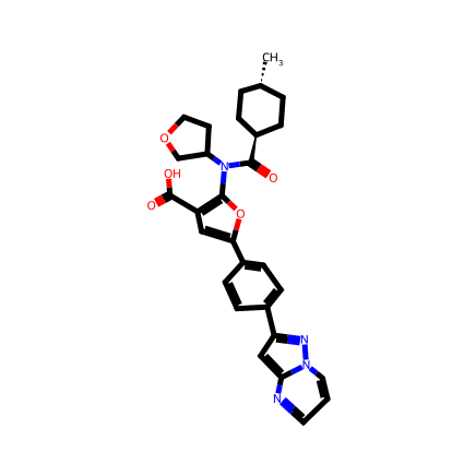 C[C@H]1CC[C@H](C(=O)N(c2oc(-c3ccc(-c4cc5ncccn5n4)cc3)cc2C(=O)O)C2CCOC2)CC1